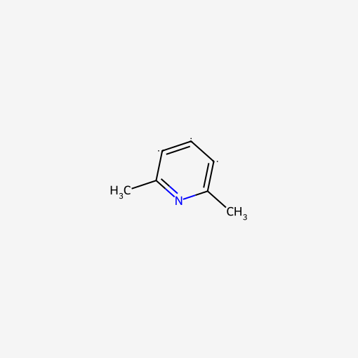 Cc1[c][c][c]c(C)n1